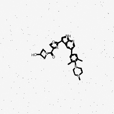 Cc1cc(-c2cnc3[nH]cc(-c4nc(C(=O)N5CC(O)C5)co4)c3c2)cc(C)c1N1CCN(C)CC1